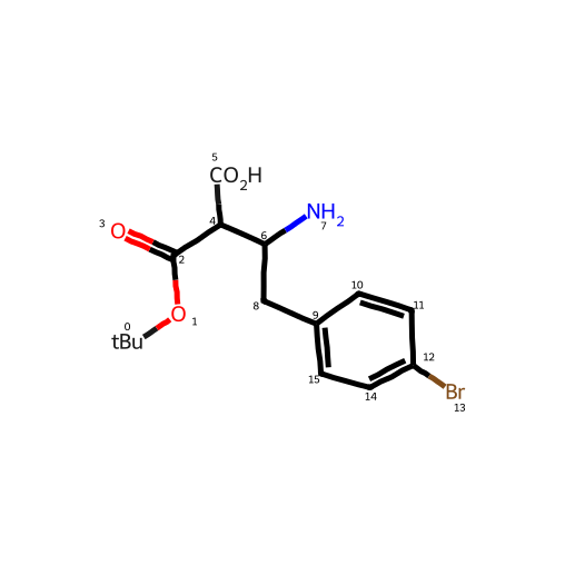 CC(C)(C)OC(=O)C(C(=O)O)C(N)Cc1ccc(Br)cc1